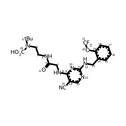 CC(C)(C)N(CCNC(=O)CNc1nc(NCc2ccccc2OC(F)(F)F)ncc1C#N)C(=O)O